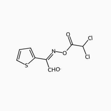 O=[C]C(=NOC(=O)C(Cl)Cl)c1cccs1